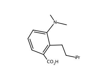 CC(C)CCc1c(C(=O)O)cccc1N(C)C